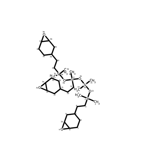 C[Si](C)(CCC1CCC2OC2C1)O[Si](C)(C)O[Si](C)(CCC1CCC2OC2C1)O[Si](C)(C)CCC1CCC2OC2C1